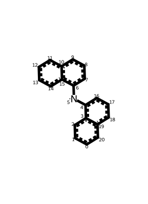 c1ccc2c([N]c3cccc4ccccc34)cccc2c1